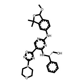 COC1OC(C)(C)c2cc(Nc3ncc(-c4nc(N5CCOCC5)no4)c(N[C@H](CO)c4ccccc4)n3)ccc21